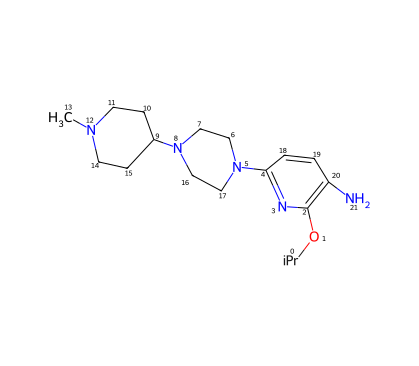 CC(C)Oc1nc(N2CCN(C3CCN(C)CC3)CC2)ccc1N